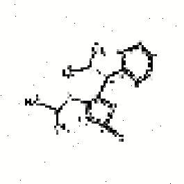 CC(C)Sc1[nH]c(=O)sc1[C@@H](c1ccccc1)C(C)C